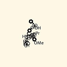 COc1ccc(S(=O)(=O)N(CC(C)C)C[C@@H](O)[C@H](Cc2ccc(OCP(=O)(O)OCc3ccccc3)cc2)NC(=O)O[C@H]2CO[C@H]3OCC[C@H]32)cc1